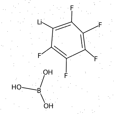 OB(O)O.[Li][c]1c(F)c(F)c(F)c(F)c1F